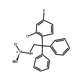 CC(C)(C)[S@@+]([O-])NCC(c1ccccc1)(c1ccccc1)c1ccc(F)cc1Cl